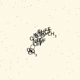 CCn1nc(C(=O)NC[C@]2(O)CC[C@@H](S(C)(=O)=O)CC2)c(Cl)c1-c1ncc(CC(C)(C)C(F)(F)F)cc1OC(F)F